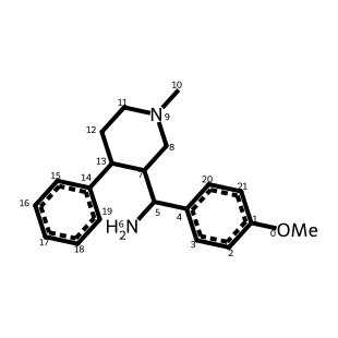 COc1ccc(C(N)C2CN(C)CCC2c2ccccc2)cc1